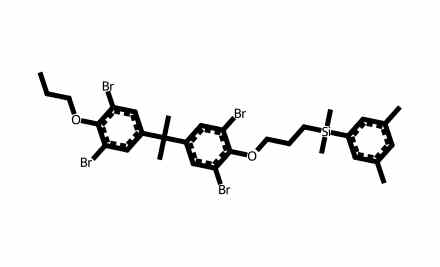 CCCOc1c(Br)cc(C(C)(C)c2cc(Br)c(OCCC[Si](C)(C)c3cc(C)cc(C)c3)c(Br)c2)cc1Br